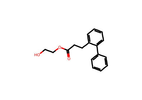 O=C(CCc1ccccc1-c1ccccc1)OCCO